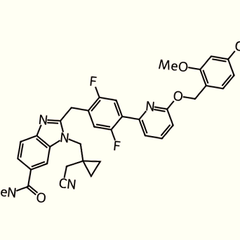 CNC(=O)c1ccc2nc(Cc3cc(F)c(-c4cccc(OCc5ccc(C#N)cc5OC)n4)cc3F)n(CC3(CC#N)CC3)c2c1